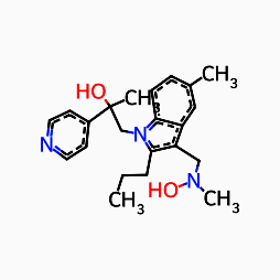 CCCc1c(CN(C)O)c2cc(C)ccc2n1CC(C)(O)c1ccncc1